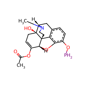 CC(=O)OC1=CC[C@]2(O)[C@@H]3Cc4ccc(OP)c5c4[C@]2(CCN3C)[C@@H]1O5